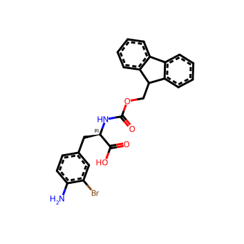 Nc1ccc(C[C@@H](NC(=O)OCC2c3ccccc3-c3ccccc32)C(=O)O)cc1Br